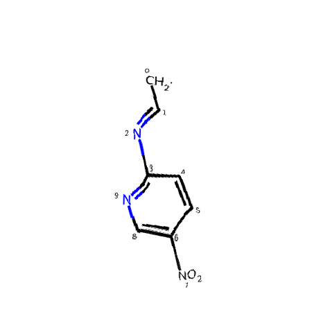 [CH2]C=Nc1ccc([N+](=O)[O-])cn1